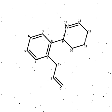 C=CCc1[c]cccc1C1CCCC=N1